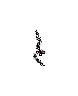 C=Cc1ccc(COc2c(C)cc(Oc3c(C)cc(Oc4ccc(C(C)(c5cc(C)c(Oc6cc(C)c(Oc7cc(C)c(OCc8ccc(C=C)cc8)c(C)c7)c(C)c6)c(C)c5)P5(=O)Oc6ccccc6-c6ccccc65)cc4)cc3C)cc2C)cc1